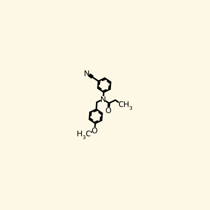 CCC(=O)N(Cc1ccc(OC)cc1)c1cccc(C#N)c1